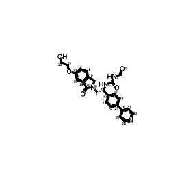 O=CNC(=O)N[C@@H](CN1Cc2ccc(OCCO)cc2C1=O)c1ccc(-c2ccncc2)cc1